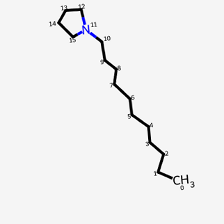 CCCCCCCCCCCN1CCCC1